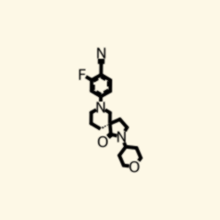 N#Cc1ccc(N2CCC[C@@]3(CCN(C4CCOCC4)C3=O)C2)cc1F